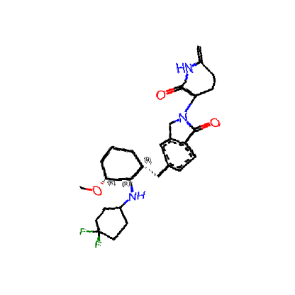 C=C1CCC(N2Cc3cc(C[C@H]4CCC[C@@H](OC)[C@@H]4NC4CCC(F)(F)CC4)ccc3C2=O)C(=O)N1